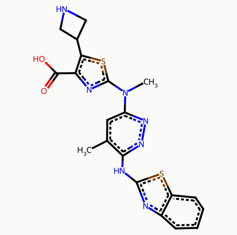 Cc1cc(N(C)c2nc(C(=O)O)c(C3CNC3)s2)nnc1Nc1nc2ccccc2s1